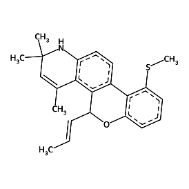 CC=CC1Oc2cccc(SC)c2-c2ccc3c(c21)C(C)=CC(C)(C)N3